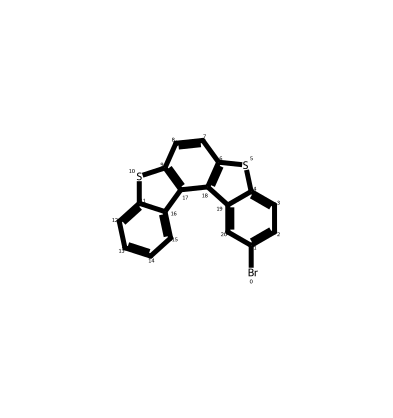 Brc1ccc2sc3ccc4sc5ccccc5c4c3c2c1